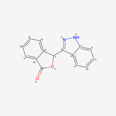 O=C1OC(c2n[nH]c3ccccc23)c2ccccc21